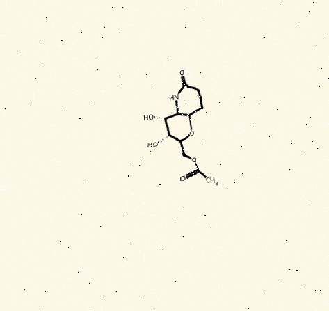 CC(=O)OCC1OC2CCC(=O)NC2[C@@H](O)[C@H]1O